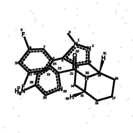 Cn1nc2c(c1-c1cc(F)cc(F)c1)C[C@H]1CCC[C@@H]2N1C(=O)c1ccc(N)cn1